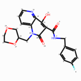 O=C(NCc1ccc(F)cc1)c1c(O)c2ncccc2n(CC2COCCO2)c1=O